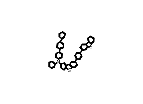 c1ccc(-c2ccc(-c3ccc(N(c4ccccc4)c4ccc5sc6ccc(-c7ccc(-c8ccc9c(c8)sc8ccccc89)cc7)cc6c5c4)cc3)cc2)cc1